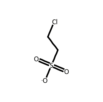 [O]S(=O)(=O)CCCl